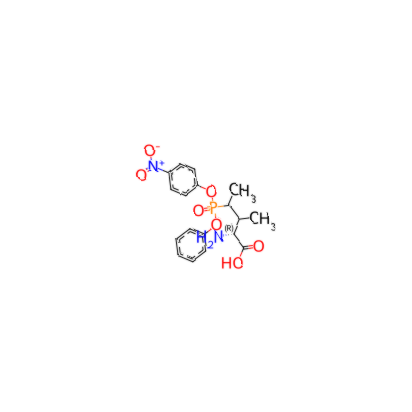 CC(C(C)P(=O)(Oc1ccccc1)Oc1ccc([N+](=O)[O-])cc1)[C@@H](N)C(=O)O